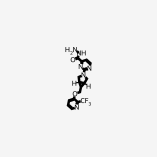 NNC(=O)c1ccnc(N2C[C@@H]3C(COc4cccnc4C(F)(F)F)[C@@H]3C2)n1